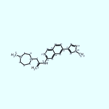 C=C(CN1CCCN(C)CC1)Nc1cc2cc(-c3cnn(C)c3)ccc2cn1